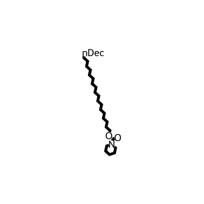 CCCCCCCCCCCCCCCCCCCCCCCCCCCCOC(=O)N1CCCCC1